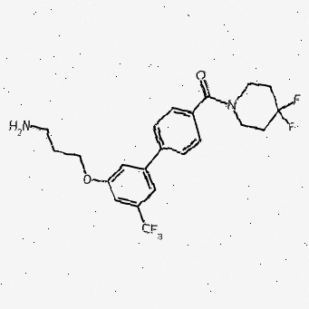 NCCCOc1cc(-c2ccc(C(=O)N3CCC(F)(F)CC3)cc2)cc(C(F)(F)F)c1